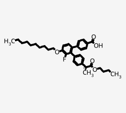 CCCCCCCCCCOc1ccc(-c2ccc(C(=O)O)cc2)c(-c2ccc([C@H](C)C(=O)OCCCC)cc2)c1F